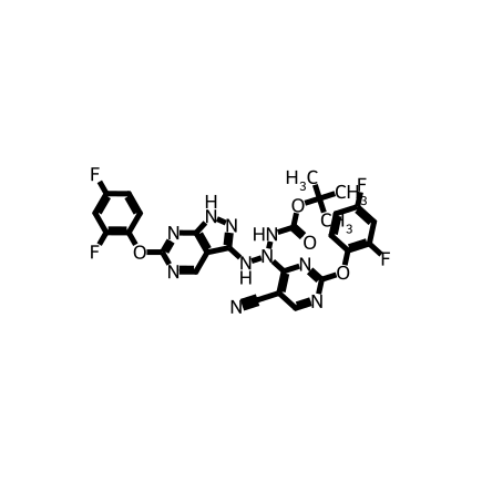 CC(C)(C)OC(=O)NN(Nc1n[nH]c2nc(Oc3ccc(F)cc3F)ncc12)c1nc(Oc2ccc(F)cc2F)ncc1C#N